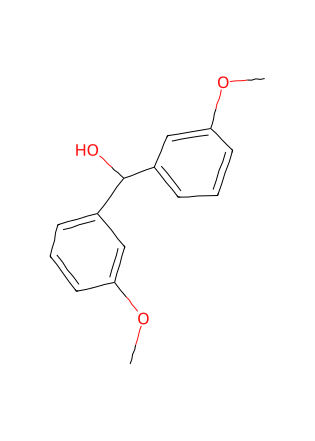 COc1cccc(C(O)c2cccc(OC)c2)c1